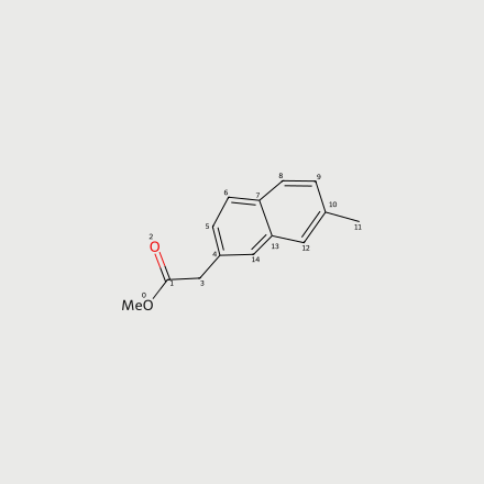 COC(=O)Cc1ccc2ccc(C)cc2c1